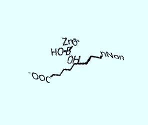 CCCCCCCCCCCCCCCCCC(=O)[O-].[O-]B(O)O.[Zn+2]